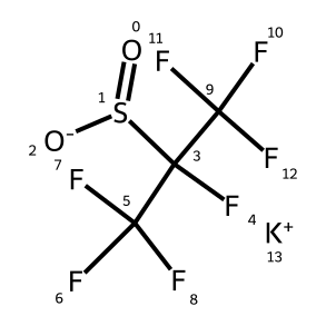 O=S([O-])C(F)(C(F)(F)F)C(F)(F)F.[K+]